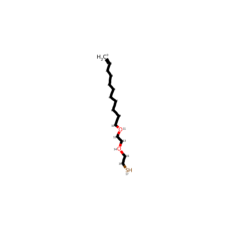 C=CCCCCCCCCCOCCOCCS